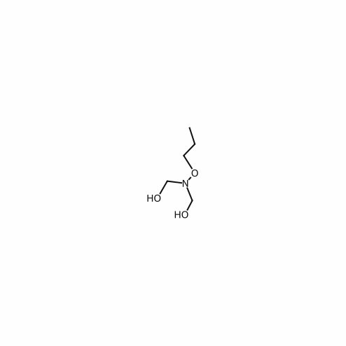 CCCON(CO)CO